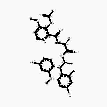 COc1cc(F)ccc1[C@@H](c1ccc(F)cc1C)[C@H](C)OC(=O)[C@H](C)NC(=O)c1nccc(OC)c1OC(C)=O